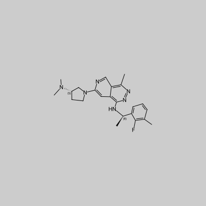 Cc1cccc([C@@H](C)Nc2nnc(C)c3cnc(N4CC[C@H](N(C)C)C4)cc23)c1F